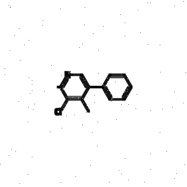 Cc1c(Cl)[c]ncc1-c1ccccc1